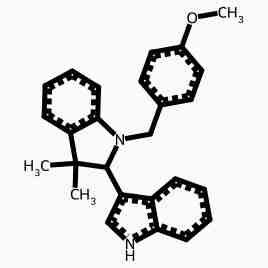 COc1ccc(CN2c3ccccc3C(C)(C)C2c2c[nH]c3ccccc23)cc1